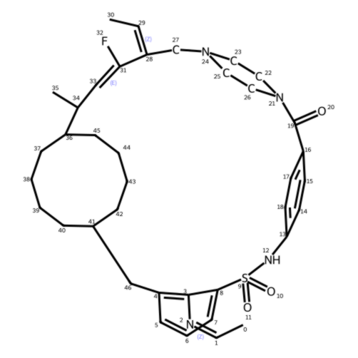 C/C=N\c1c2cccc1S(=O)(=O)Nc1ccc(cc1)C(=O)N1CCN(CC1)CC(=C/C)/C(F)=C\C(C)C1CCCCC(CCCC1)C2